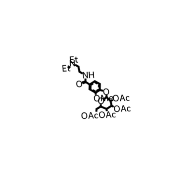 CCN(CC)CCNC(=O)c1ccc(OC2OC(COC(C)=O)C(OC(C)=O)C(OC(C)=O)C2OC(C)=O)c(OC)c1